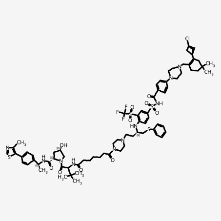 Cc1ncsc1-c1ccc([C@H](C)NC(=O)[C@@H]2C[C@@H](O)CN2C(=O)C(NC(=O)CCCCCC(=O)N2CCN(CC[C@H](CSc3ccccc3)Nc3ccc(S(=O)(=O)NC(=O)c4ccc(N5CCN(CC6=C(C78CC(Cl)(C7)C8)CC(C)(C)CC6)CC5)cc4)cc3S(=O)(=O)C(F)(F)F)CC2)C(C)(C)C)cc1